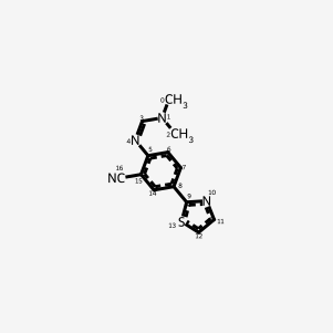 CN(C)/C=N\c1ccc(-c2nccs2)cc1C#N